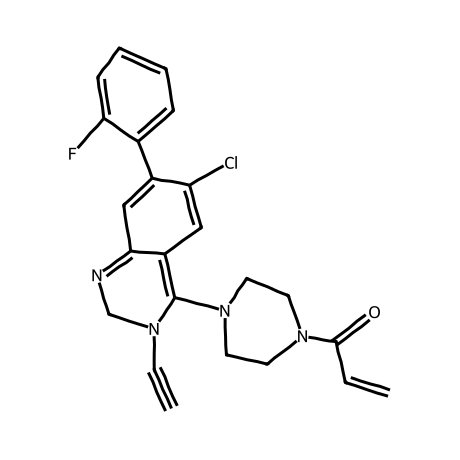 C#CN1CN=c2cc(-c3ccccc3F)c(Cl)cc2=C1N1CCN(C(=O)C=C)CC1